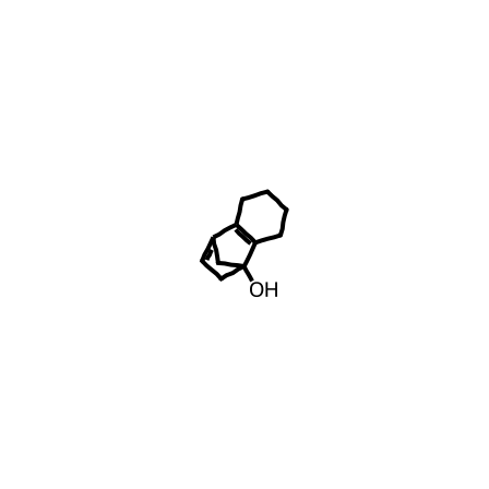 OC12CC=C(C1)C1=C2CCCC1